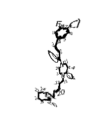 O=C(C=Cc1ccc(Cl)c(F)c1)N1CCC(=O)N(CCCN2CCCCC2)CC1